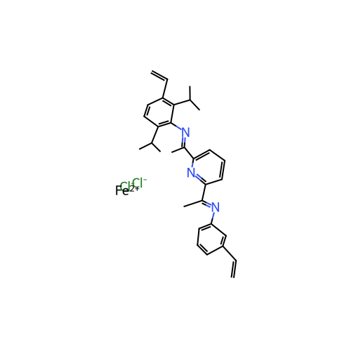 C=Cc1cccc(/N=C(\C)c2cccc(/C(C)=N/c3c(C(C)C)ccc(C=C)c3C(C)C)n2)c1.[Cl-].[Cl-].[Fe+2]